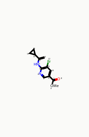 C=C(Nc1ncc(C(=O)OC)cc1Br)C1CC1